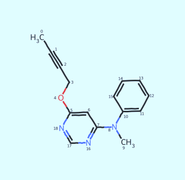 CC#CCOc1cc(N(C)c2ccccc2)ncn1